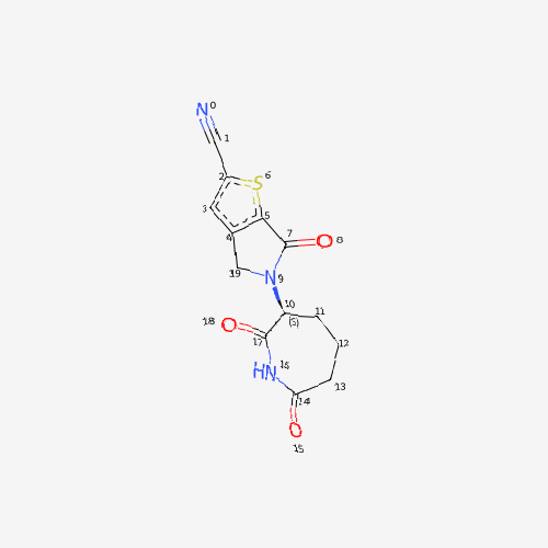 N#Cc1cc2c(s1)C(=O)N([C@H]1CCCC(=O)NC1=O)C2